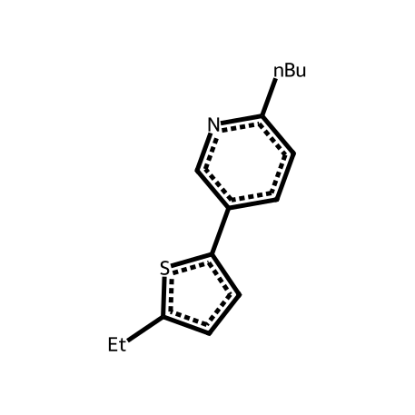 CCCCc1ccc(-c2ccc(CC)s2)cn1